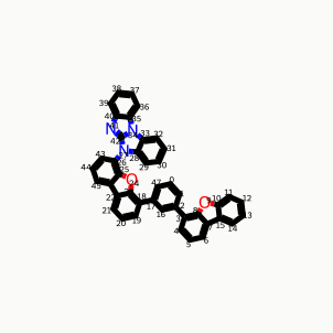 c1cc(-c2cccc3c2oc2ccccc23)cc(-c2cccc3c2oc2c(-n4c5ccccc5n5c6ccccc6nc45)cccc23)c1